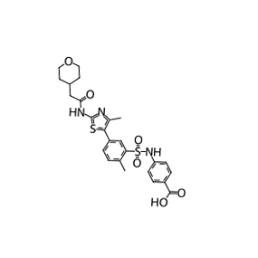 Cc1ccc(-c2sc(NC(=O)CC3CCOCC3)nc2C)cc1S(=O)(=O)Nc1ccc(C(=O)O)cc1